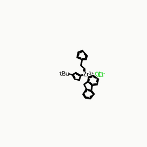 CC(C)(C)C1=CC[C]([Zr+2](=[CH]Cc2ccccc2)[c]2cccc3c2Cc2ccccc2-3)=C1.[Cl-].[Cl-]